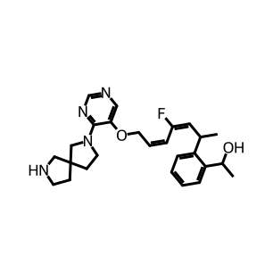 CC(O)c1ccccc1C(C)/C=C(F)\C=C/COc1cncnc1N1CCC2(CCNC2)C1